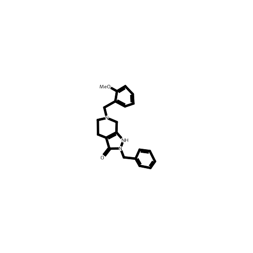 COc1ccccc1CN1CCc2c([nH]n(Cc3ccccc3)c2=O)C1